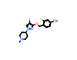 CN1CCC(n2cc(I)c(OCc3ccc(C#N)cc3F)n2)CC1